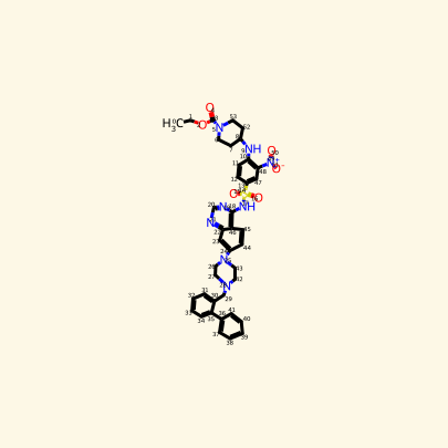 CCOC(=O)N1CCC(Nc2ccc(S(=O)(=O)Nc3ncnc4cc(N5CCN(Cc6ccccc6-c6ccccc6)CC5)ccc34)cc2[N+](=O)[O-])CC1